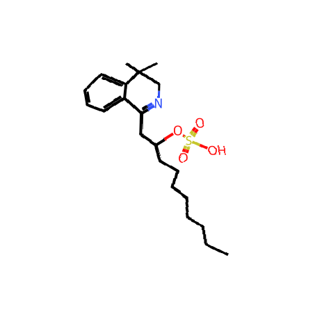 CCCCCCCCC(CC1=NCC(C)(C)c2ccccc21)OS(=O)(=O)O